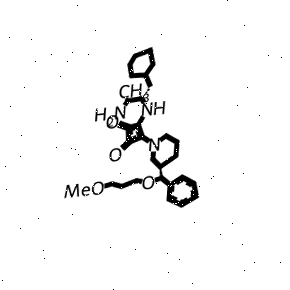 COCCCOC(c1ccccc1)[C@@H]1CCCN(c2c(N[C@@H](CC3CCCCC3)[C@H](C)N)c(=O)c2=O)C1